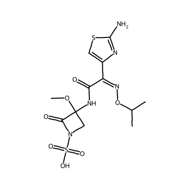 COC1(NC(=O)C(=NOC(C)C)c2csc(N)n2)CN(S(=O)(=O)O)C1=O